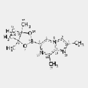 Cc1cn2cc(B3OC(C)(C)C(C)(C)O3)nc(C)c2n1